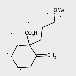 C=C1CCCCC1(CCCOC)C(=O)O